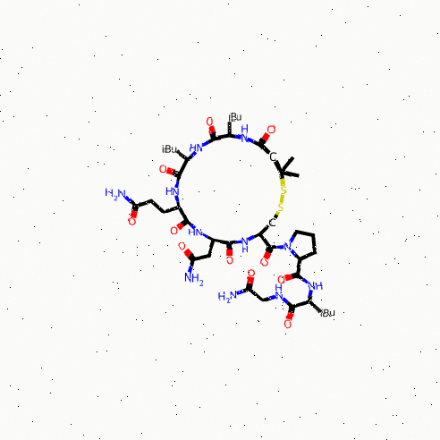 CCC(C)C1NC(=O)CC(C)(C)SSCC(C(=O)N2CCCC2C(=O)NC(C(=O)NCC(N)=O)C(C)CC)NC(=O)C(CC(N)=O)NC(=O)C(CCC(N)=O)NC(=O)C(C(C)CC)NC1=O